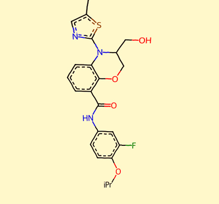 Cc1cnc(N2c3cccc(C(=O)Nc4ccc(OC(C)C)c(F)c4)c3OCC2CO)s1